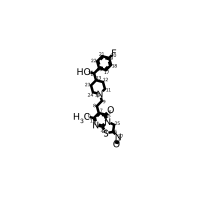 Cc1nc2n(c(=O)c1CCN1CCC(C(O)c3ccc(F)cc3)CC1)CC(N=O)S2